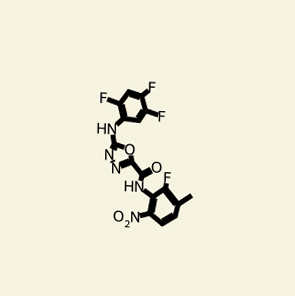 Cc1ccc([N+](=O)[O-])c(NC(=O)c2nnc(Nc3cc(F)c(F)cc3F)o2)c1F